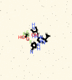 N#Cc1cc(F)cc(Nc2cc(NC[C@@H]3CCNC[C@H]3O)nc3c(C4CC4)cnn23)c1.O=C(O)C(F)(F)F